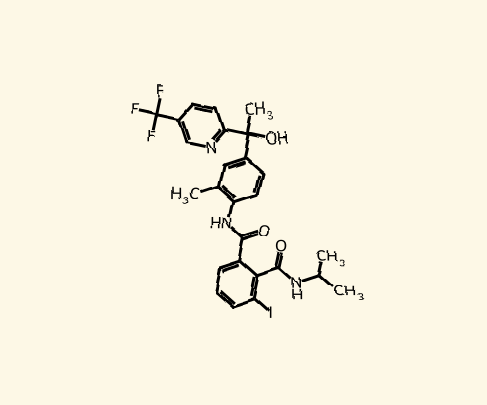 Cc1cc(C(C)(O)c2ccc(C(F)(F)F)cn2)ccc1NC(=O)c1cccc(I)c1C(=O)NC(C)C